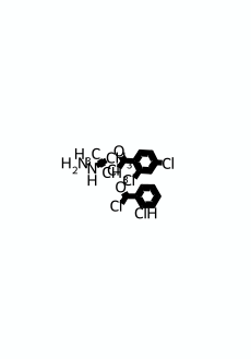 CC(C)(C)NN.Cl.O=C(Cl)c1ccc(Cl)cc1Cl.O=C(Cl)c1ccccc1